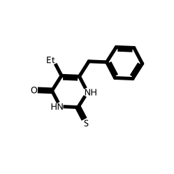 CCc1c(Cc2ccccc2)[nH]c(=S)[nH]c1=O